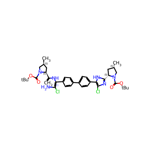 C=C(N/C(=C(\N)Cl)c1ccc(-c2ccc(-c3[nH]c([C@@H]4C[C@H](C)CN4C(=O)OC(C)(C)C)nc3Cl)cc2)cc1)[C@@H]1C[C@H](C)CN1C(=O)OC(C)(C)C